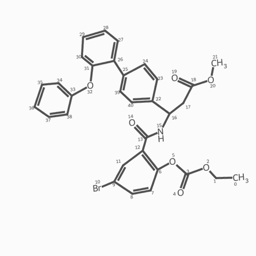 CCOC(=O)Oc1ccc(Br)cc1C(=O)NC(CC(=O)OC)c1ccc(-c2ccccc2Oc2ccccc2)cc1